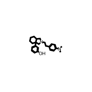 CN(C)c1ccc(CCN2CC3CCCCC3(c3cccc(O)c3)C2)cc1